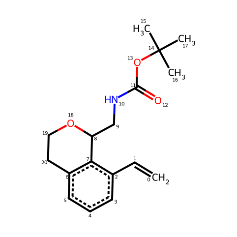 C=Cc1cccc2c1C(CNC(=O)OC(C)(C)C)OCC2